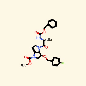 CC(C)(C)OC(=O)N1CC(OCc2ccc(F)cc2)C2C1=CCN2C(=O)C(NC(=O)OCc1ccccc1)C(C)(C)C